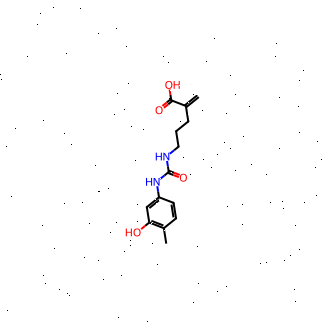 C=C(CCCNC(=O)Nc1ccc(C)c(O)c1)C(=O)O